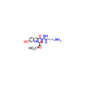 N=C(NCCCCN)NC(=O)[C@H](Cc1ccc(O)cc1)NC(=O)[C@H]1O[C@@H]1C(=O)O